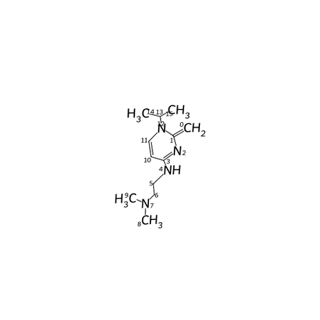 C=C1N=C(NCCN(C)C)C=CN1C(C)C